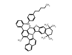 CCCCCc1ccc(Nc2ccccc2-c2cc(C)c3c4c5ccccc5ccc4n4c3c2Bc2oc3cc5c(cc3c2-4)C(C)(C)CCC5(C)C)cc1